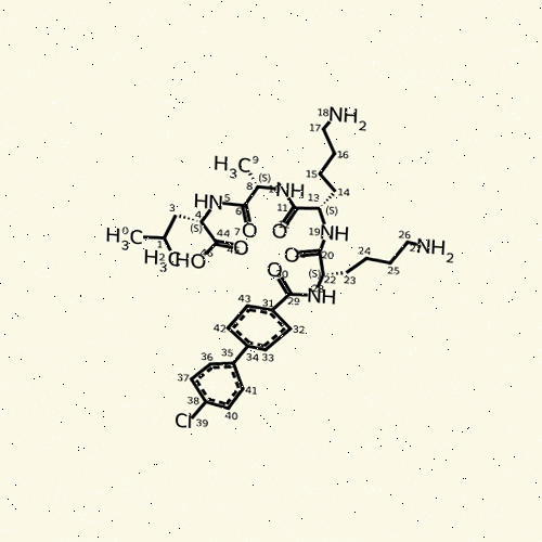 CC(C)C[C@H](NC(=O)[C@H](C)NC(=O)[C@H](CCCCN)NC(=O)[C@H](CCCCN)NC(=O)c1ccc(-c2ccc(Cl)cc2)cc1)C(=O)O